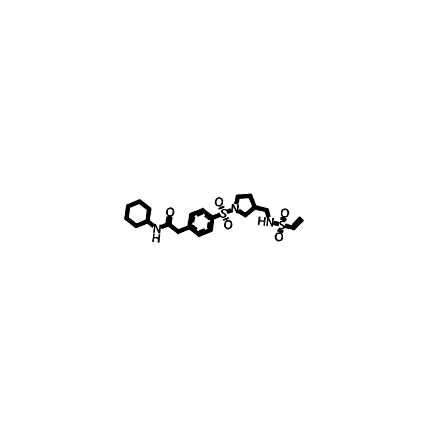 C=CS(=O)(=O)NCC1CCN(S(=O)(=O)c2ccc(CC(=O)NC3CCCCC3)cc2)C1